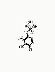 NNP(=O)(O)Oc1ccc(Cl)c(Cl)c1Cl